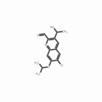 CC(C)Oc1cc2nc(C=O)c(C(C)O)cc2cc1Cl